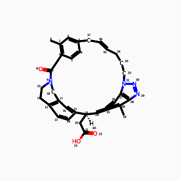 Cc1cc2ccc1C(=O)N1CCc3ccc(cc3C1)[C@H](CC(=O)O)c1ccc3c(nnn3CCC/C=C/C2)c1C